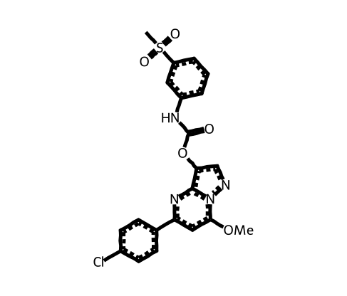 COc1cc(-c2ccc(Cl)cc2)nc2c(OC(=O)Nc3cccc(S(C)(=O)=O)c3)cnn12